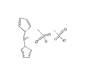 C1=C[CH]([Zr+2][CH]2C=CC=C2)C=C1.CS(=O)(=O)[O-].CS(=O)(=O)[O-]